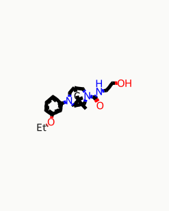 CCOc1cccc(N2CC3CN(C(=O)NCCO)CC2C(C)(C)C3)c1